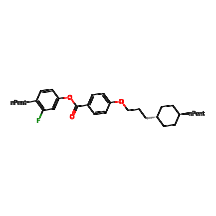 CCCCCc1ccc(OC(=O)c2ccc(OCCC[C@H]3CC[C@H](CCCCC)CC3)cc2)cc1F